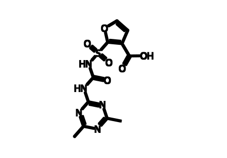 Cc1nc(C)nc(NC(=O)NS(=O)(=O)c2occc2C(=O)O)n1